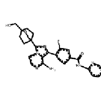 Nc1nccn2c(C34CCC(CO)(CC3)OC4)nc(-c3ccc(C(=O)Nc4ccccn4)cc3F)c12